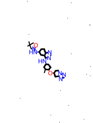 Cc1cc(Nc2ncnc3ccc(NN4CC(C)(C)CO4)cc23)ccc1Oc1ccn2ncnc2c1